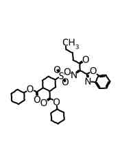 CCCCC(=O)/C(=N\OS(=O)(=O)C1CCC(C(=O)OC2CCCCC2)C(C(=O)OC2CCCCC2)C1)c1nc2ccccc2o1